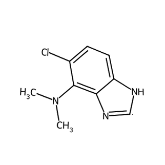 CN(C)c1c(Cl)ccc2[nH][c]nc12